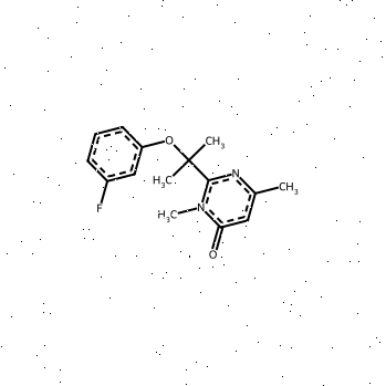 Cc1cc(=O)n(C)c(C(C)(C)Oc2cccc(F)c2)n1